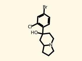 OC1(c2ccc(Br)cc2Cl)CCN2CCCC2C1